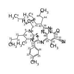 CCCCC(CC)CN(CC(CC)CCCC)c1nc(-c2ccc(C)cc2)c(/N=C2/C(C)=C(C#N)C(=O)n3nc(C(CCC)CCC)nc32)s1